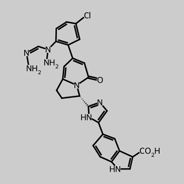 N/N=C\N(N)c1ccc(Cl)cc1-c1cc2n(c(=O)c1)[C@H](c1ncc(-c3ccc4[nH]cc(C(=O)O)c4c3)[nH]1)CC2